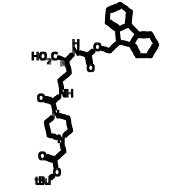 CC(C)(C)OC(=O)CN1CCN(C(=O)NCC[C@H](NC(=O)OCC2c3ccccc3-c3ccccc32)C(=O)O)CC1